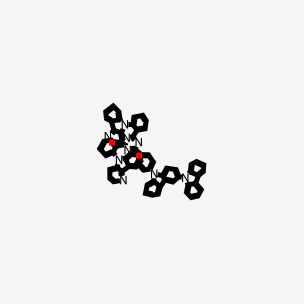 c1ccc(-n2c3ccccc3c3ncccc32)c(-c2nc(-c3ccc(-n4c5ccccc5c5cc(-n6c7ccccc7c7ccccc76)ccc54)cc3)nc(-c3ccccc3-n3c4ccccc4c4ncccc43)n2)c1